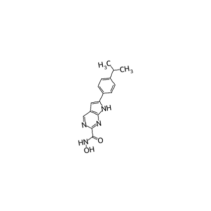 CC(C)c1ccc(-c2cc3cnc(C(=O)NO)nc3[nH]2)cc1